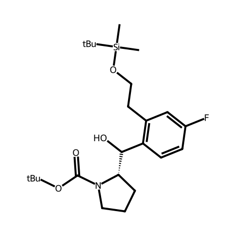 CC(C)(C)OC(=O)N1CCC[C@H]1C(O)c1ccc(F)cc1CCO[Si](C)(C)C(C)(C)C